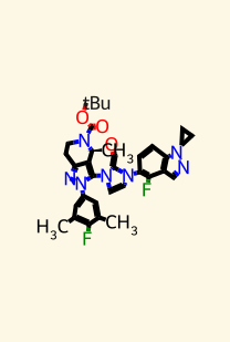 Cc1cc(-n2nc3c(c2N2C=CN(c4ccc5c(cnn5C5CC5)c4F)C2=C=O)[C@H](C)N(C(=O)OC(C)(C)C)CC3)cc(C)c1F